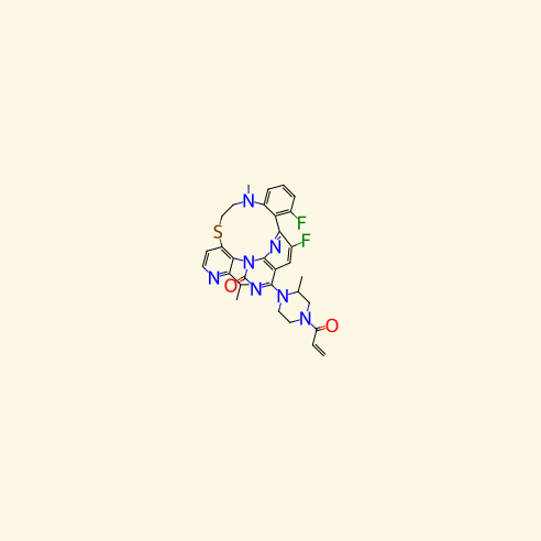 C=CC(=O)N1CCN(c2nc(=O)n3c4nc(c(F)cc24)-c2c(F)cccc2N(C)CCSc2ccnc(C(C)C)c2-3)C(C)C1